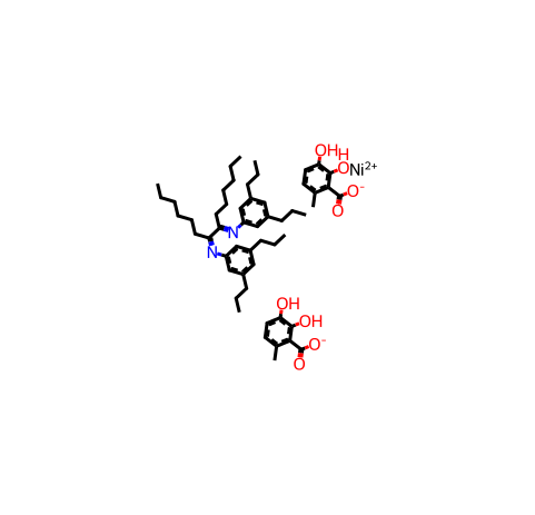 CCCCCCC(=Nc1cc(CCC)cc(CCC)c1)C(CCCCCC)=Nc1cc(CCC)cc(CCC)c1.Cc1ccc(O)c(O)c1C(=O)[O-].Cc1ccc(O)c(O)c1C(=O)[O-].[Ni+2]